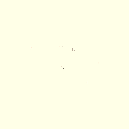 O=C(O)c1noc(CBr)n1